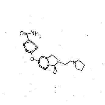 NC(=O)c1ccc(Oc2ccc3c(c2)CCN(CCN2CCCC2)C3=O)cc1